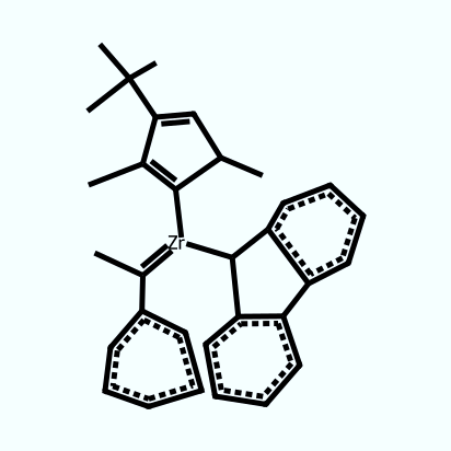 CC1=[C]([Zr](=[C](C)c2ccccc2)[CH]2c3ccccc3-c3ccccc32)C(C)C=C1C(C)(C)C